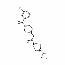 O=C(CN1CCN(C(=O)c2cccc(F)c2)CC1)N1CCN(C2CCC2)CC1